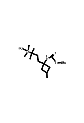 CC1CC(CCC(C)(C)[Si](C)(C)O)(NC(=O)OC(C)(C)C)C1